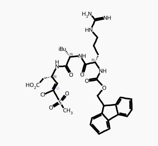 CCC(C)[C@H](NC(=O)[C@H](CCCNC(=N)N)NC(=O)OCC1c2ccccc2-c2ccccc21)C(=O)N[C@H](/C=C(\Cl)S(C)(=O)=O)CC(=O)O